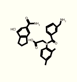 Cc1ccc(N(CC(=O)O)C(=O)c2cccc(CN)c2)c(C)c1.Cl.NC(=O)c1ccc2c(c1)CCC2